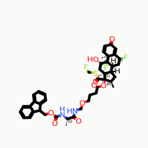 C[C@H](NC(=O)OCC1c2ccccc2-c2ccccc21)C(=O)NCOCCCC(=O)O[C@]1(C(=O)SCF)[C@H](C)C[C@H]2[C@@H]3C[C@H](F)C4=CC(=O)C=C[C@]4(C)[C@@]3(F)[C@@H](O)C[C@@]21C